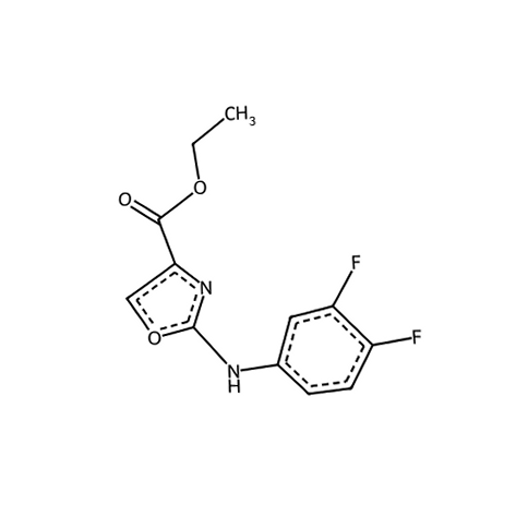 CCOC(=O)c1coc(Nc2ccc(F)c(F)c2)n1